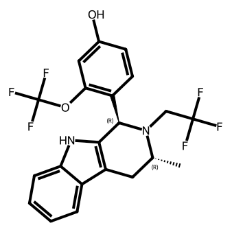 C[C@@H]1Cc2c([nH]c3ccccc23)[C@@H](c2ccc(O)cc2OC(F)(F)F)N1CC(F)(F)F